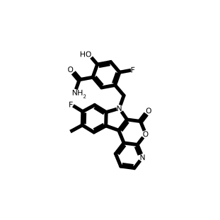 Cc1cc2c3c4cccnc4oc(=O)c3n(Cc3cc(C(N)=O)c(O)cc3F)c2cc1F